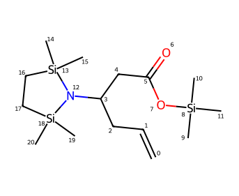 C=CCC(CC(=O)O[Si](C)(C)C)N1[Si](C)(C)CC[Si]1(C)C